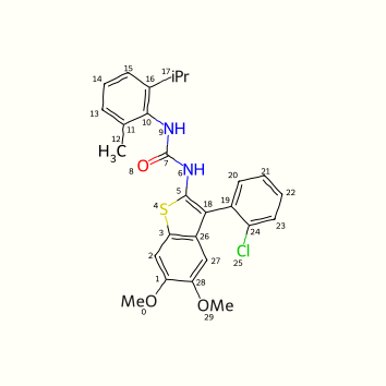 COc1cc2sc(NC(=O)Nc3c(C)cccc3C(C)C)c(-c3ccccc3Cl)c2cc1OC